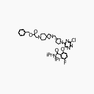 CC(C)N(C(=O)c1cc(F)ccc1Oc1nnc(Cl)nc1N1CC[C@@H](CN2CC3(CCN(CC(=O)OCc4ccccc4)CC3)C2)C1)C(C)C